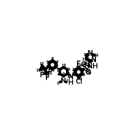 CN(C)[C@H]1C[C@@H](c2cccc(C3(C(F)(F)F)CC3)c2)CCC1Nc1cc(F)c(S(=O)(=O)Nc2ccncn2)cc1Cl